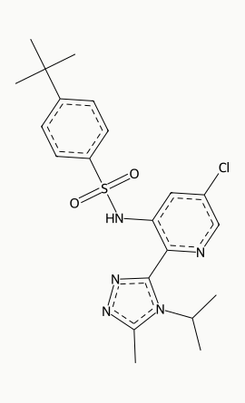 Cc1nnc(-c2ncc(Cl)cc2NS(=O)(=O)c2ccc(C(C)(C)C)cc2)n1C(C)C